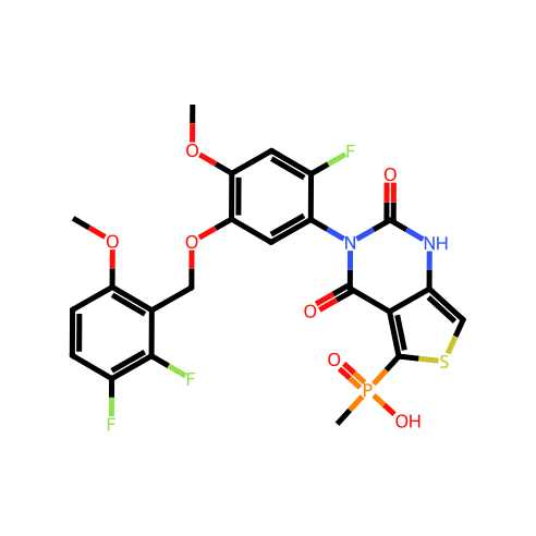 COc1cc(F)c(-n2c(=O)[nH]c3csc(P(C)(=O)O)c3c2=O)cc1OCc1c(OC)ccc(F)c1F